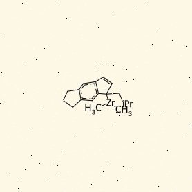 CC(C)C[C]1([Zr]([CH3])[CH3])C=Cc2cc3c(cc21)CCC3